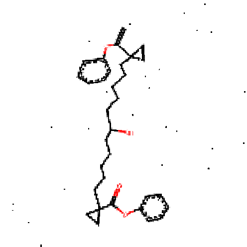 C=C(Oc1ccccc1)C1(CCCCCC(O)CCCCCC2(C(=O)Oc3ccccc3)CC2)CC1